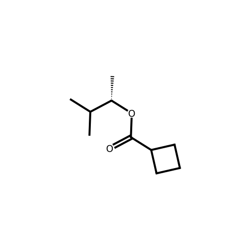 CC(C)[C@H](C)OC(=O)C1CCC1